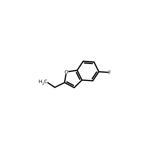 [CH2]Cc1cc2cc(F)ccc2o1